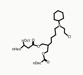 CCCCCCCCCCC(=O)OCC(CCCCN(CCCl)C1CCCCC1)COC(=O)CC(CCCCCC)CCCCCCCC